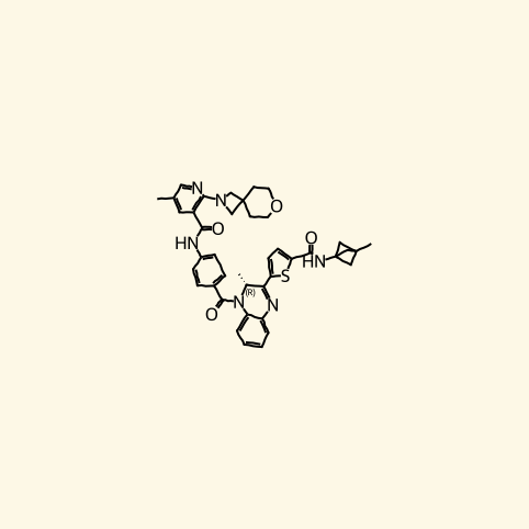 Cc1cnc(N2CC3(CCOCC3)C2)c(C(=O)Nc2ccc(C(=O)N3c4ccccc4N=C(c4ccc(C(=O)NC56CC(C)(C5)C6)s4)[C@H]3C)cc2)c1